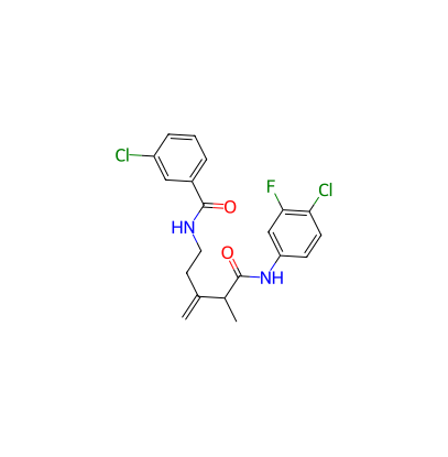 C=C(CCNC(=O)c1cccc(Cl)c1)C(C)C(=O)Nc1ccc(Cl)c(F)c1